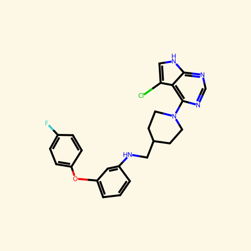 Fc1ccc(Oc2cccc(NCC3CCN(c4ncnc5[nH]cc(Cl)c45)CC3)c2)cc1